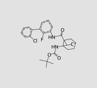 CC(C)(C)OC(=O)NC12CCC(CC1)CC2C(=O)Nc1cccc(-c2ccccc2Cl)c1F